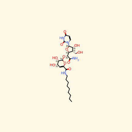 CCCCCCCCCNC(=O)C1=C[C@H](O)[C@H](O)[C@@H](O[C@@H](C(N)=O)[C@H]2O[C@@H](n3ccc(=O)[nH]c3=O)[C@H](O)[C@@H]2CO)O1